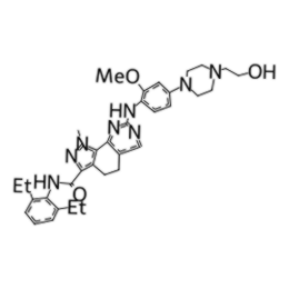 CCc1cccc(CC)c1NC(=O)c1nn(C)c2c1CCc1cnc(Nc3ccc(N4CCN(CCO)CC4)cc3OC)nc1-2